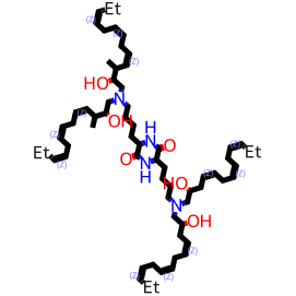 CC/C=C\C/C=C\C/C=C\CC(O)CN(CCCCC1NC(=O)C(CCCCN(CC(O)C(C)/C=C\C/C=C\C/C=C\CC)CC(O)C(C)/C=C\C/C=C\C/C=C\CC)NC1=O)CC(O)C/C=C\C/C=C\C/C=C\CC